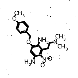 COc1ccc(COc2cc(N)c([N+](=O)[O-])c(CCN(C)C)c2N)cc1